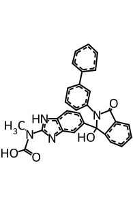 CN(C(=O)O)c1nc2cc(C3(O)c4ccccc4C(=O)N3c3cccc(-c4ccccc4)c3)ccc2[nH]1